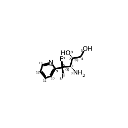 N[C@@H]([C@H](O)CO)C(F)(F)c1ccccn1